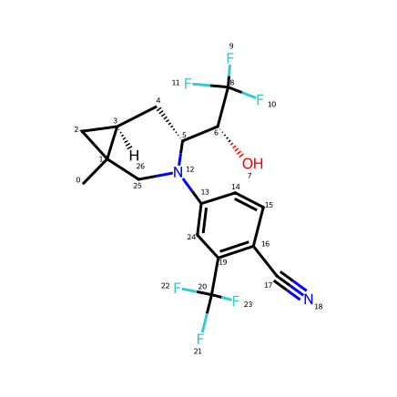 CC12C[C@H]1C[C@H]([C@@H](O)C(F)(F)F)N(c1ccc(C#N)c(C(F)(F)F)c1)C2